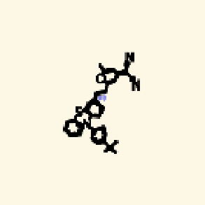 CC1=CC(=C(C#N)C#N)C=C(/C=C/c2ccc3c(c2)Sc2ccccc2N3c2ccc(C(C)(C)C)cc2)O1